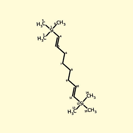 C[Si](C)(C)C=CCCCCC=C[Si](C)(C)C